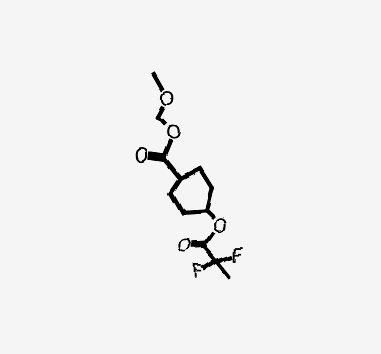 COCOC(=O)C1CCC(OC(=O)C(C)(F)F)CC1